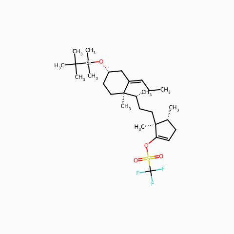 CC/C=C1/C[C@@H](O[Si](C)(C)C(C)(C)C)CC[C@]1(C)[C@H](C)CC[C@]1(C)C(OS(=O)(=O)C(F)(F)F)=CC[C@H]1C